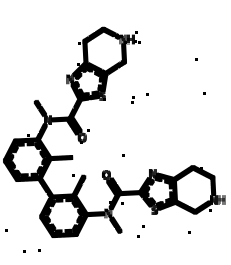 Cc1c(-c2cccc(N(C)C(=O)c3nc4c(s3)CNCC4)c2C)cccc1N(C)C(=O)c1nc2c(s1)CNCC2